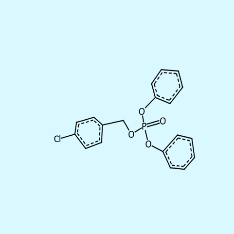 O=P(OCc1ccc(Cl)cc1)(Oc1ccccc1)Oc1ccccc1